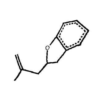 C=C(C)CC1Cc2ccccc2O1